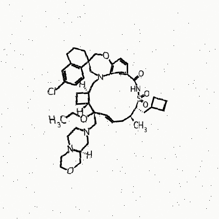 CCO[C@@]1(CN2CCN3CCOC[C@@H]3C2)/C=C/C[C@H](C)[C@@H](CC2CCC2)S(=O)(=O)NC(=O)c2ccc3c(c2)N(C[C@@H]2CC[C@H]21)C[C@@]1(CCCc2cc(Cl)ccc21)CO3